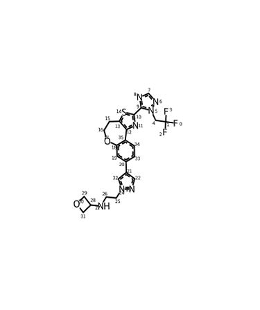 FC(F)(F)Cn1ncnc1-c1nc2c(s1)CCOc1cc(-c3cnn(CCNC4COC4)c3)ccc1-2